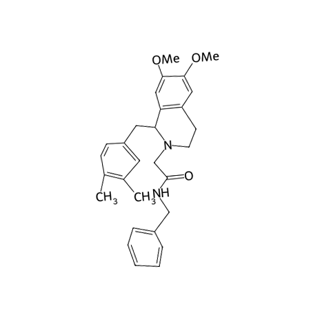 COc1cc2c(cc1OC)C(Cc1ccc(C)c(C)c1)N(CC(=O)NCc1ccccc1)CC2